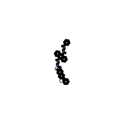 C/C(=C\C=C(/C)c1c2ccccc2c(/C(C)=C/C=C2\Cc3cc4cc5c(cc4cc3O2)oc2ccccc25)c2ccccc12)c1ccccc1